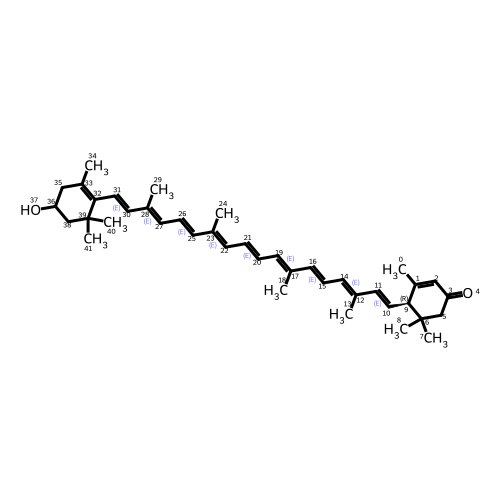 CC1=CC(=O)CC(C)(C)[C@H]1/C=C/C(C)=C/C=C/C(C)=C/C=C/C=C(C)/C=C/C=C(C)/C=C/C1=C(C)CC(O)CC1(C)C